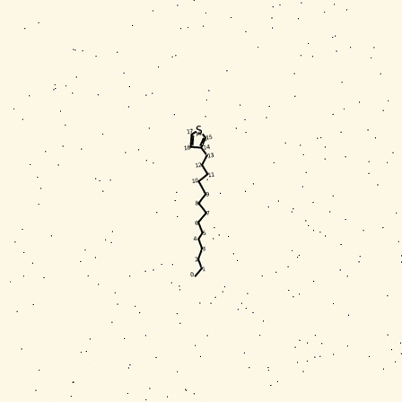 CCCCCCCCCCCCCCc1[c]scc1